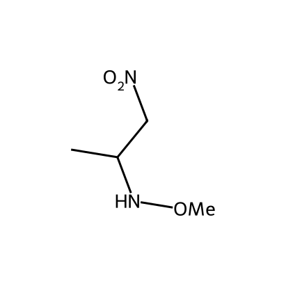 CONC(C)C[N+](=O)[O-]